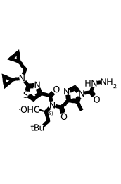 Cc1c(C(=O)N(C(=O)c2csc(N(CC3CC3)C3CC3)n2)[C@H]([C]=O)CC(C)(C)C)ncn1C(=O)NN